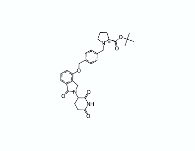 CC(C)(C)OC(=O)[C@@H]1CCCN1Cc1ccc(COc2cccc3c2CN(C2CCC(=O)NC2=O)C3=O)cc1